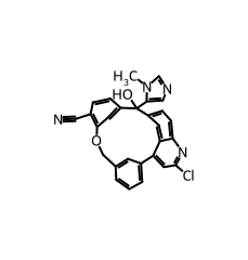 Cn1cncc1C1(O)c2ccc(C#N)c(c2)OCc2cccc(c2)-c2cc(Cl)nc3ccc1cc23